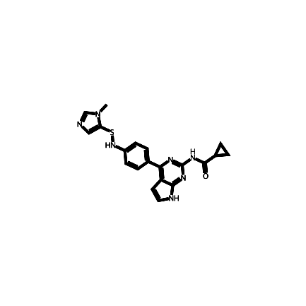 Cn1cncc1SNc1ccc(-c2nc(NC(=O)C3CC3)nc3[nH]ccc23)cc1